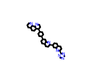 c1cnc2c(c1)ccc1c(-c3ccc(-c4ccc5ccc(-c6ccc7ccc(-c8ncncn8)nc7c6)nc5c4)cc3)ccnc12